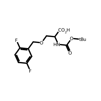 CC(C)(C)OC(=O)NC(COCc1cc(F)ccc1F)C(=O)O